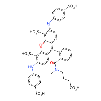 CN(CCCC(=O)O)C(=O)c1ccccc1-c1c2cc/c(=N\c3ccc(S(=O)(=O)O)cc3)c(S(=O)(=O)O)c-2oc2c(S(=O)(=O)O)c(Nc3ccc(S(=O)(=O)O)cc3)ccc12